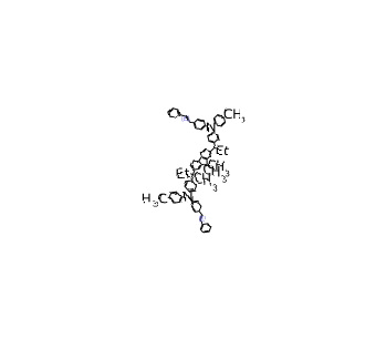 CCC(c1ccc(N(c2ccc(C)cc2)c2ccc(/C=C/c3ccccc3)cc2)cc1)c1ccc2c(c1)C(C)(C)c1cc(C(C)(CC)c3ccc(N(c4ccc(C)cc4)c4ccc(/C=C/c5ccccc5)cc4)cc3)ccc1-2